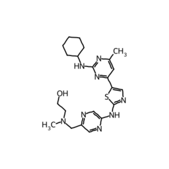 Cc1cc(-c2cnc(Nc3cnc(CN(C)CCO)cn3)s2)nc(NC2CCCCC2)n1